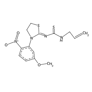 C=CCNC(=S)N=C1SCCN1c1cc(OC)ccc1[N+](=O)[O-]